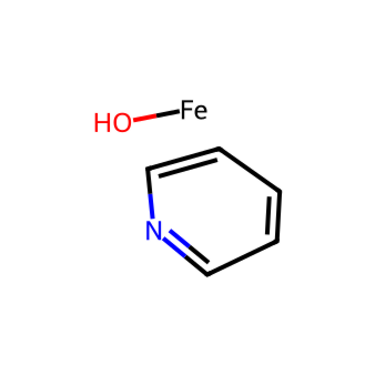 [OH][Fe].c1ccncc1